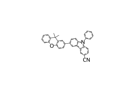 CC1(C)c2ccccc2Oc2ccc(-c3ccc4c(c3)c3cc(C#N)ccc3n4-c3ccccc3)cc21